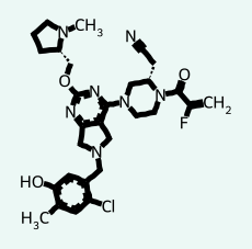 C=C(F)C(=O)N1CCN(c2nc(OC[C@@H]3CCCN3C)nc3c2CN(Cc2cc(O)c(C)cc2Cl)C3)C[C@@H]1CC#N